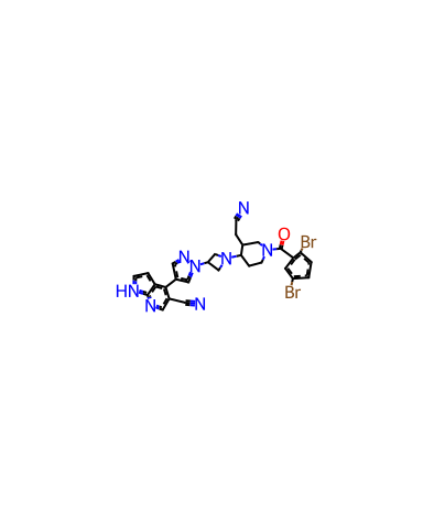 N#CCC1CN(C(=O)c2cc(Br)ccc2Br)CCC1N1CC(n2cc(-c3c(C#N)cnc4[nH]ccc34)cn2)C1